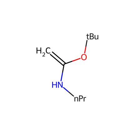 C=C(NCCC)OC(C)(C)C